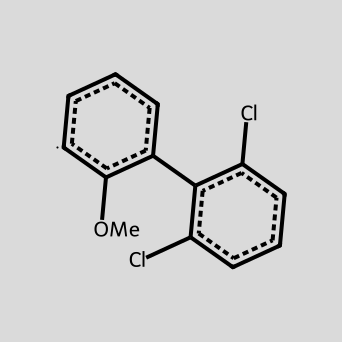 COc1[c]cccc1-c1c(Cl)cccc1Cl